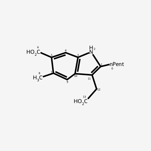 CCCCCc1[nH]c2cc(C(=O)O)c(C)cc2c1CC(=O)O